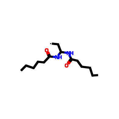 [CH2]CC(NC(=O)CCCCC)NC(=O)CCCCC